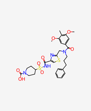 COc1cc(C(=O)N(CCCc2ccccc2)Cc2nc(C(=O)NS(=O)(=O)C3CCN(C(=O)O)CC3)cs2)cc(OC)c1C